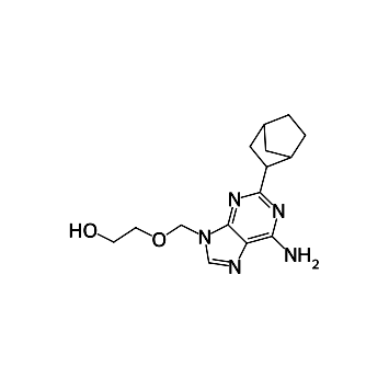 Nc1nc(C2CC3CCC2C3)nc2c1ncn2COCCO